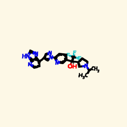 CC(C)N1CCC([C@@](O)(c2ccc(-n3cc(-c4ccnc5[nH]cnc45)cn3)nc2)C(F)(F)F)C1